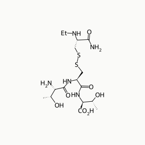 CCN[C@@H](CSSC[C@H](NC(=O)[C@@H](N)[C@@H](C)O)C(=O)N[C@H](C(=O)O)[C@@H](C)O)C(N)=O